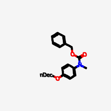 CCCCCCCCCCOc1ccc(N(C)C(=O)OCc2ccccc2)cc1